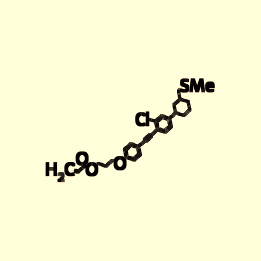 C=CC(=O)OCCCOc1ccc(C#Cc2ccc(C3CCCC(CSC)C3)cc2Cl)cc1